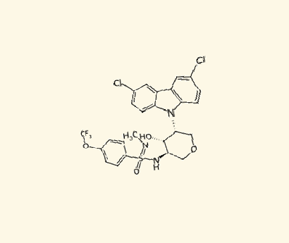 CN=S(=O)(N[C@@H]1COC[C@@H](n2c3ccc(Cl)cc3c3cc(Cl)ccc32)[C@H]1O)c1ccc(OC(F)(F)F)cc1